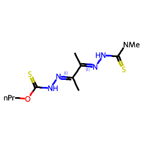 CCCOC(=S)N/N=C(C)/C(C)=N/NC(=S)NC